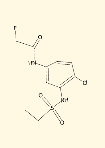 CCS(=O)(=O)Nc1cc(NC(=O)CF)ccc1Cl